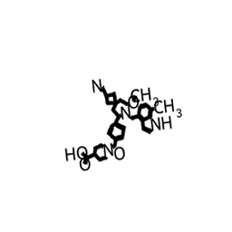 COc1cc(C)c2[nH]ccc2c1CN1CCC2(CC(C#N)C2)CC1c1ccc(C(=O)N2CCC(C(=O)O)CC2)cc1